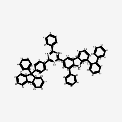 c1ccc(-c2nc(-c3ccc(C4(c5ccccc5)c5ccccc5-c5ccccc54)cc3)nc(-c3cc(-c4ccccc4)c4oc5c(-c6ccccc6-c6ccccc6)cccc5c4c3)n2)cc1